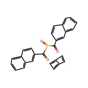 O=C(c1ccc2ccccc2c1)[P](=O)C(=O)c1ccc2ccccc2c1.c1cc2ccc1-2